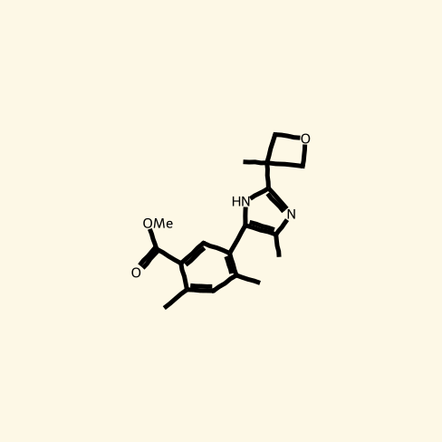 COC(=O)c1cc(-c2[nH]c(C3(C)COC3)nc2C)c(C)cc1C